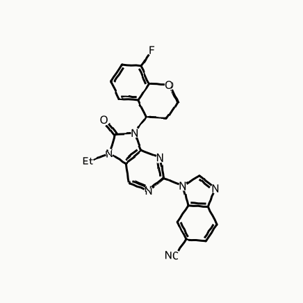 CCn1c(=O)n(C2CCOc3c(F)cccc32)c2nc(-n3cnc4ccc(C#N)cc43)ncc21